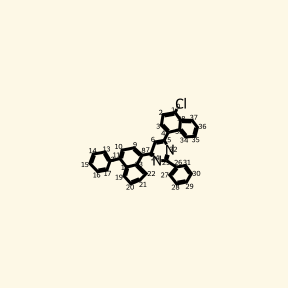 Clc1ccc(-c2cc(-c3ccc(-c4ccccc4)c4ccccc34)nc(-c3ccccc3)n2)c2ccccc12